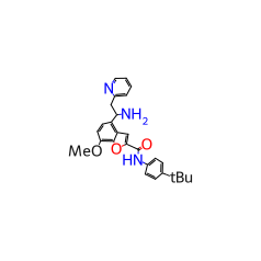 COc1ccc(C(N)Cc2ccccn2)c2cc(C(=O)Nc3ccc(C(C)(C)C)cc3)oc12